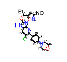 CCC(Oc1nc2nc(-c3ccc(N4CCOCC4)cc3)c(Cl)cc2[nH]1)c1cc(N=O)no1